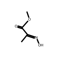 COC(=O)C(C)=NO